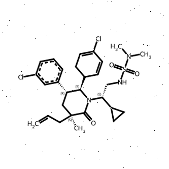 C=CC[C@@]1(C)C[C@H](c2cccc(Cl)c2)[C@@H](C2C=CC(Cl)=CC2)N([C@H](CNS(=O)(=O)N(C)C)C2CC2)C1=O